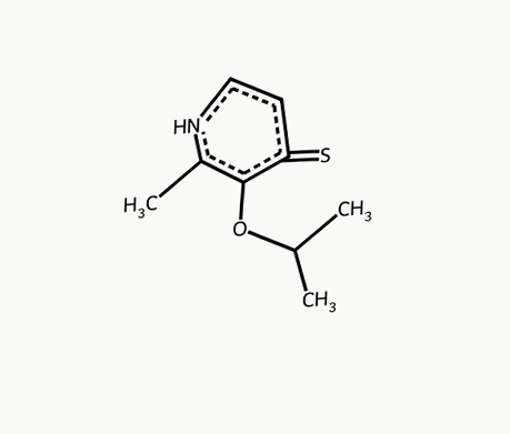 Cc1[nH]ccc(=S)c1OC(C)C